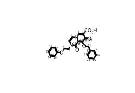 O=C(O)c1cn2ccn(CCOc3ccccc3)c(=O)c2c(OCc2ccccc2)c1=O